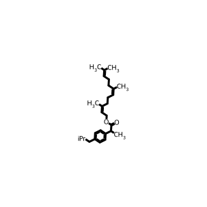 CC(C)=CCCC(C)=CCCC(C)=CCOC(=O)C(C)c1ccc(CC(C)C)cc1